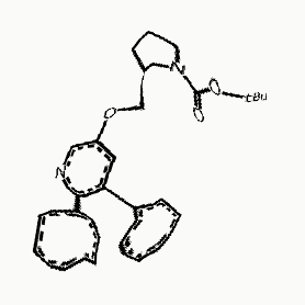 CC(C)(C)OC(=O)N1CCC[C@@H]1COc1cnc(-c2ccccc2)c(-c2ccccc2)c1